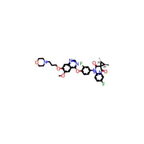 COc1cc2c(Oc3ccc(N(C(=O)C4(C(N)=O)[C@H](C)[C@H]4C)c4ccc(F)cc4)cc3F)ncnc2cc1OCCCN1CCOCC1